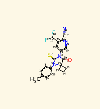 Cc1ccc(N2C(=S)N(c3cnc(C#N)c(C(F)F)c3)C(=O)C23CCC3)cc1